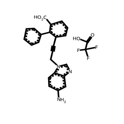 Nc1ccc2c(c1)ncn2CC#Cc1cccc(C(=O)O)c1-c1ccccc1.O=C(O)C(F)(F)F